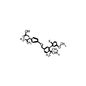 C=C(C)[C@@H](CC(=O)O)c1ccc(OCc2ccc(C(C)(C)C)c(-c3cc(OC)ccc3F)c2)cc1